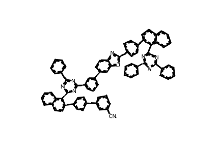 N#Cc1cccc(-c2ccc(-c3ccc4ccccc4c3-c3nc(-c4ccccc4)nc(-c4cccc(-c5ccc6nc(-c7ccc(-c8ccc9ccccc9c8-c8nc(-c9ccccc9)nc(-c9ccccc9)n8)cc7)oc6c5)c4)n3)cc2)c1